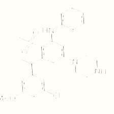 COc1cc(Cl)cc(C(C)c2cc(N3CCNCC3)cc(Nc3ccccc3)c2S(C)(=O)=O)c1